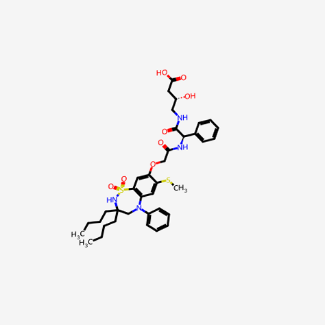 CCCCC1(CCCC)CN(c2ccccc2)c2cc(SC)c(OCC(=O)N[C@@H](C(=O)NC[C@@H](O)CC(=O)O)c3ccccc3)cc2S(=O)(=O)N1